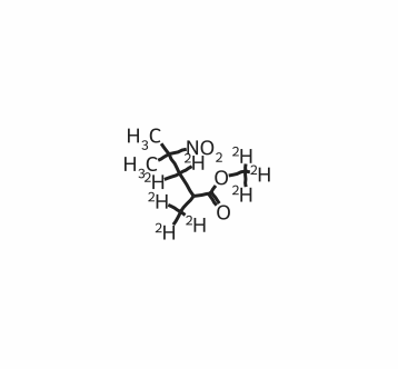 [2H]C([2H])([2H])OC(=O)C(C([2H])([2H])[2H])C([2H])([2H])C(C)(C)[N+](=O)[O-]